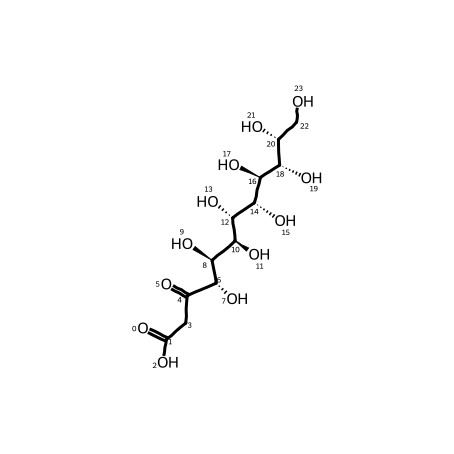 O=C(O)CC(=O)[C@@H](O)[C@@H](O)[C@H](O)[C@H](O)[C@@H](O)[C@@H](O)[C@@H](O)[C@H](O)CO